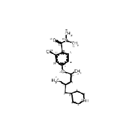 CC(CC1CCNCC1)CC(C)Oc1ccc(C(=O)N(C)C)c(Cl)c1